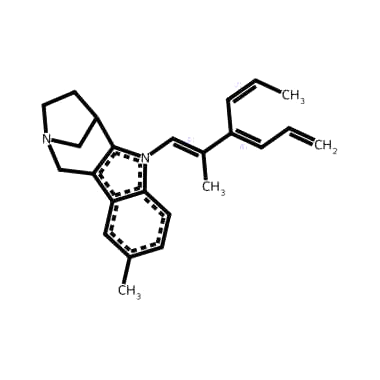 C=C/C=C(\C=C/C)C(/C)=C/n1c2c(c3cc(C)ccc31)CN1CCC2C1